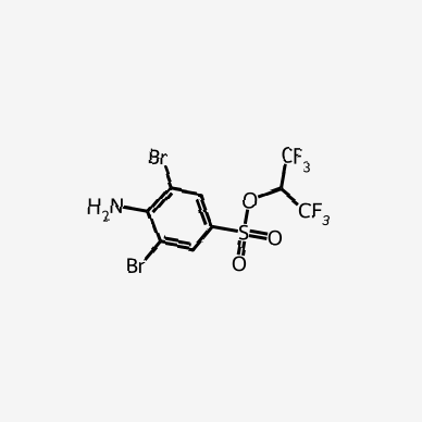 Nc1c(Br)cc(S(=O)(=O)OC(C(F)(F)F)C(F)(F)F)cc1Br